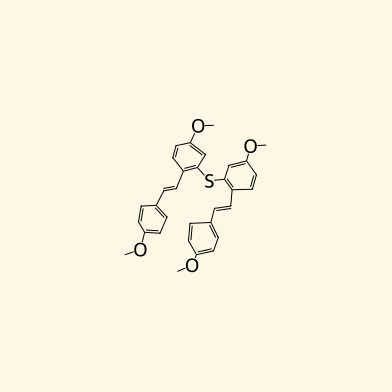 COc1ccc(C=Cc2ccc(OC)cc2Sc2cc(OC)ccc2C=Cc2ccc(OC)cc2)cc1